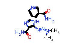 CN(C)/N=N/c1[nH]cnc1C(N)=O.NC(=O)c1cccnc1